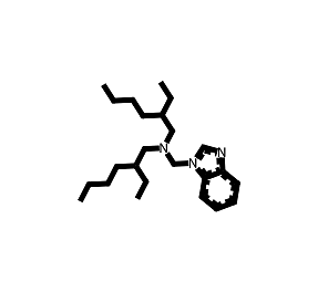 CCCCC(CC)CN(CC(CC)CCCC)Cn1cnc2ccccc21